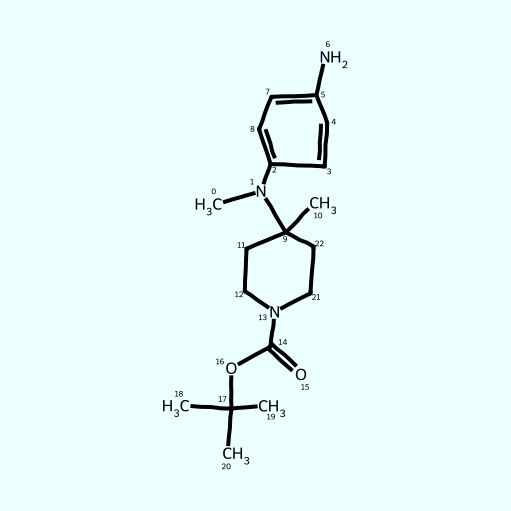 CN(c1ccc(N)cc1)C1(C)CCN(C(=O)OC(C)(C)C)CC1